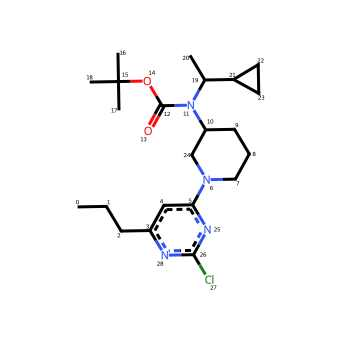 CCCc1cc(N2CCCC(N(C(=O)OC(C)(C)C)C(C)C3CC3)C2)nc(Cl)n1